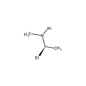 CC[C@H](C)N(C)C(C)=O